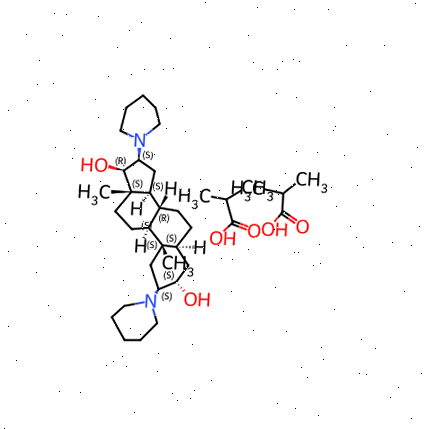 CC(C)C(=O)O.CC(C)C(=O)O.C[C@]12C[C@H](N3CCCCC3)[C@@H](O)C[C@@H]1CC[C@@H]1[C@@H]2CC[C@]2(C)[C@@H](O)[C@@H](N3CCCCC3)C[C@@H]12